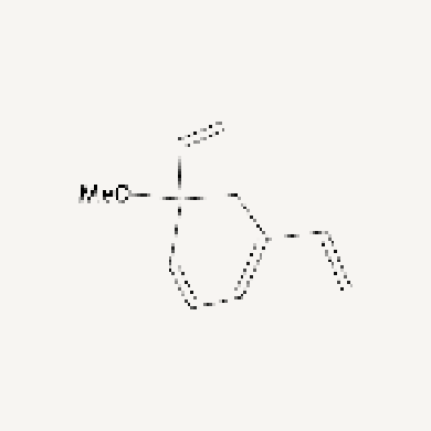 C=CC1=CC=CC(C=C)(OC)C1